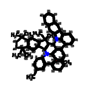 Cc1ccc(N2C3=C(B4c5c(cc(C)cc52)-c2cccc5c6cc7ccccc7cc6n4c25)C(C)(C)c2cc4c(cc23)C(C)(C)CCC4(C)C)c(-c2ccccc2)c1